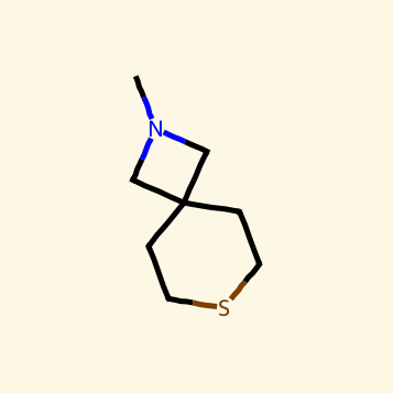 CN1CC2(CCSCC2)C1